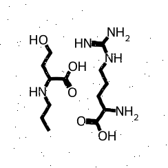 CCCNC(CCO)C(=O)O.N=C(N)NCCCC(N)C(=O)O